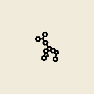 c1ccc(N(c2ccccc2)c2ccc(-c3cc4cc5ccn(-c6ccccc6)c5cc4c4c3ccc3c5ccccc5sc34)cc2)cc1